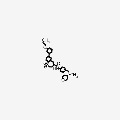 CCCOc1cccc(-c2ccc3c(c2)C=C(C(=O)Nc2ccc(CN(C)C4CCOCC4)cc2)CCS3(=O)=O)c1